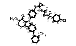 Cc1ccccc1-c1ccc2c(c1)c1c(n2-c2ccc(CC3(NC(=O)NS(=O)(=O)c4ccc(Cl)cc4)CC3)cc2)C(=O)N(C)CC1